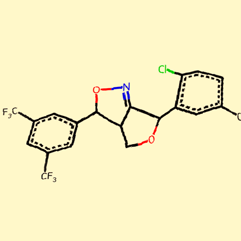 FC(F)(F)c1cc(C2ON=C3C(c4cc(C(F)(F)F)ccc4Cl)OCC32)cc(C(F)(F)F)c1